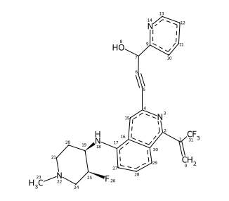 C=C(c1nc(C#CC(O)c2ccccn2)cc2c(N[C@@H]3CCN(C)C[C@@H]3F)cccc12)C(F)(F)F